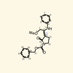 COC/C(Nc1ccccc1)=C1/CCN(C(=O)OCc2ccccc2)C1=O